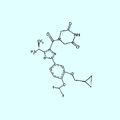 C[C@H](N)c1oc(-c2ccc(OC(F)F)c(OCC3CC3)c2)nc1C(=O)N1CC(=O)NC(=O)C1